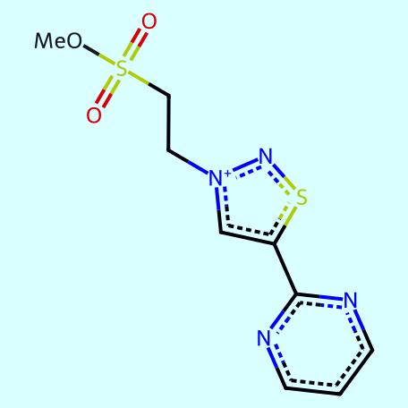 COS(=O)(=O)CC[n+]1cc(-c2ncccn2)sn1